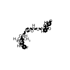 Cc1[nH]c(/C=C2\C(=O)Nc3ccc(F)cc32)c(C)c1C(=O)NCCCN1CCN(CC(=O)NCCOCCNc2cccc3c2C(=O)N(C2CCC(=O)NC2=O)C3=O)CC1